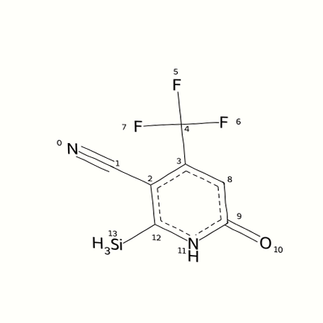 N#Cc1c(C(F)(F)F)cc(=O)[nH]c1[SiH3]